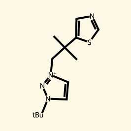 CC(C)(C[n+]1ccn(C(C)(C)C)n1)c1cncs1